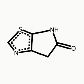 O=C1Cc2ncsc2N1